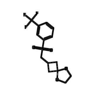 O=S(=O)(CC1CC2(C1)OCCO2)c1cccc(C(F)(F)F)c1